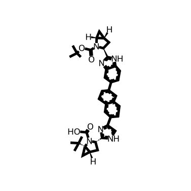 CC(C)(C)OC(=O)N1[C@@H]2C[C@@H]2C[C@H]1c1nc2cc(-c3ccc4cc(-c5c[nH]c([C@@H]6C[C@@H]7C[C@@]7(C(C)(C)C)N6C(=O)O)n5)ccc4c3)ccc2[nH]1